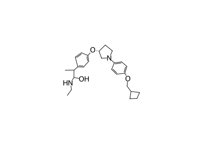 CCNC(O)C(C)c1ccc(O[C@@H]2CCN(c3ccc(OCC4CCC4)cc3)C2)cc1